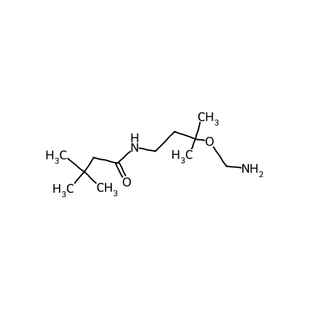 CC(C)(C)CC(=O)NCCC(C)(C)OCN